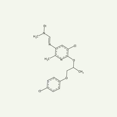 CCN(C)C=Nc1cc(Cl)c(OC(C)COc2ccc(Cl)cc2)nc1C